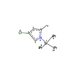 Cc1cc(Cl)cn1[Si](C(C)C)(C(C)C)C(C)C